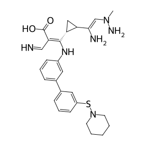 CN(N)/C=C(\N)C1C[C@H]1/C(Nc1cccc(-c2cccc(SN3CCCCC3)c2)c1)=C(/C=N)C(=O)O